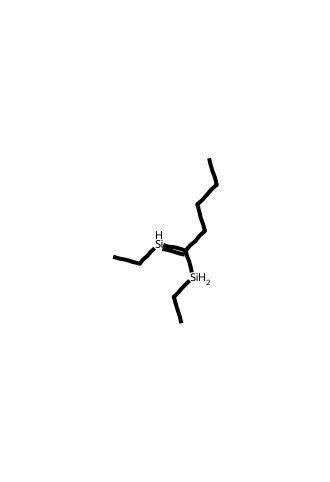 CCCCC(=[SiH]CC)[SiH2]CC